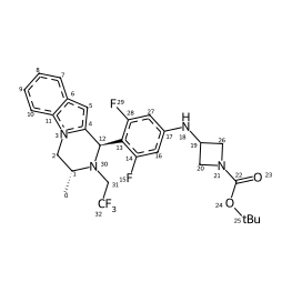 C[C@@H]1Cn2c(cc3ccccc32)[C@@H](c2c(F)cc(NC3CN(C(=O)OC(C)(C)C)C3)cc2F)N1CC(F)(F)F